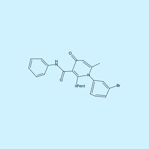 CCCCCc1c(C(=O)Nc2ccccc2)c(=O)cc(C)n1-c1cccc(Br)c1